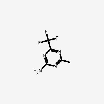 Cc1nc(N)nc(C(F)(F)F)n1